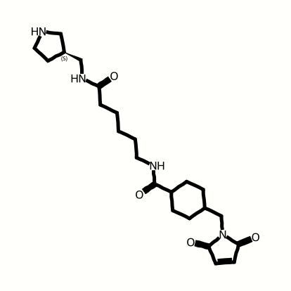 O=C(CCCCCNC(=O)C1CCC(CN2C(=O)C=CC2=O)CC1)NC[C@H]1CCNC1